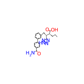 CCC[C@H](C(=O)O)[C@H](Cc1cccc(-c2ccc(C(N)=O)cc2)c1)c1nn[nH]n1